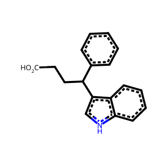 O=C(O)CCC(c1ccccc1)c1c[nH]c2ccccc12